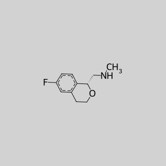 CNC[C@@H]1OCCc2cc(F)ccc21